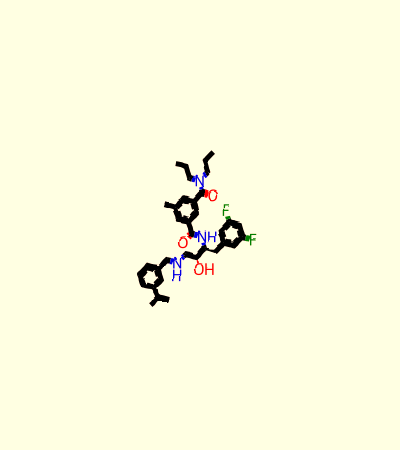 C=C(C)c1cccc(CNC[C@@H](O)[C@H](Cc2cc(F)cc(F)c2)NC(=O)c2cc(C)cc(C(=O)N(CCC)CCC)c2)c1